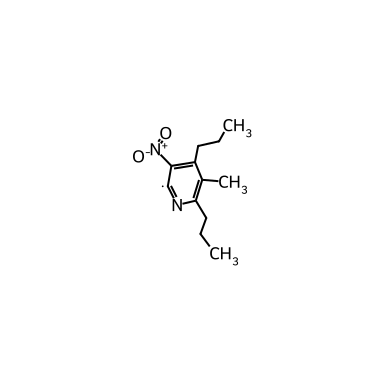 CCCc1n[c]c([N+](=O)[O-])c(CCC)c1C